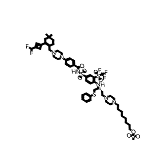 CC1(C)CCC(CN2CCN(c3ccc(C(=O)NS(=O)(=O)c4ccc(N[C@H](CCN5CCN(CCCCCCCCOS(C)(=O)=O)CC5)CSc5ccccc5)c(S(=O)(=O)C(F)(F)F)c4)cc3)CC2)=C(C23CC(C(F)F)(C2)C3)C1